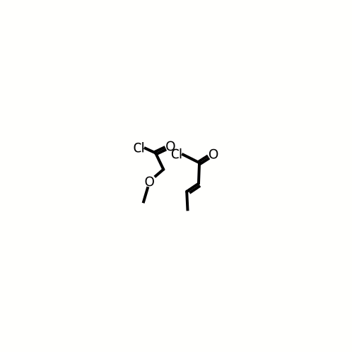 CC=CC(=O)Cl.COCC(=O)Cl